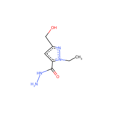 CCn1nc(CO)cc1C(=O)NN